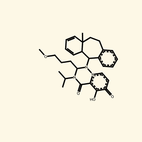 COCCCC1N(C(C)C)C(=O)c2c(O)c(=O)ccn2N1C1c2ccccc2CCC2(C)C=CC=CC12